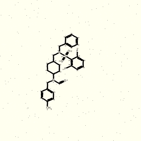 Cc1ccc(CN(C=O)C2CCC(CN(Cc3ccccc3)S(=O)(=O)c3c(F)cccc3F)CC2)cc1